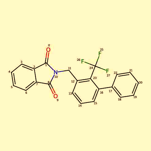 O=C1c2ccccc2C(=O)N1Cc1cccc(-c2ccccc2)c1C(F)(F)F